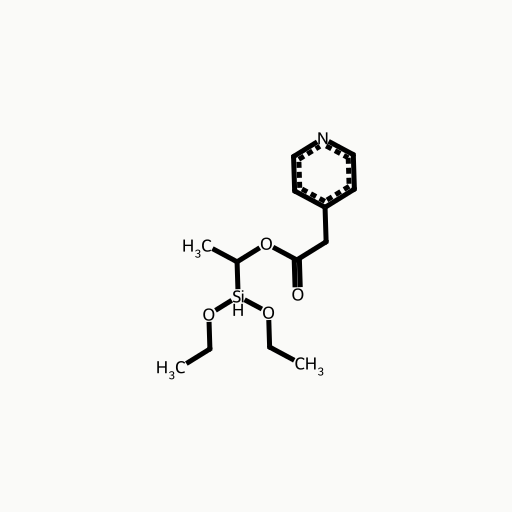 CCO[SiH](OCC)C(C)OC(=O)Cc1ccncc1